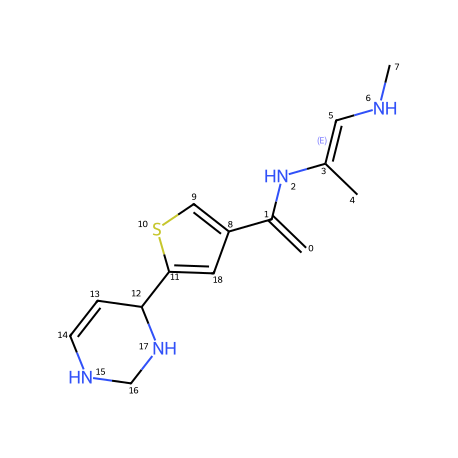 C=C(N/C(C)=C/NC)c1csc(C2C=CNCN2)c1